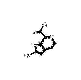 Cc1cc2ccnc(C(=O)O)c2o1